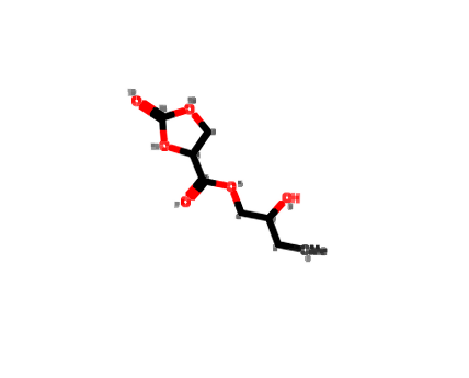 COCC(O)COC(=O)C1COC(=O)O1